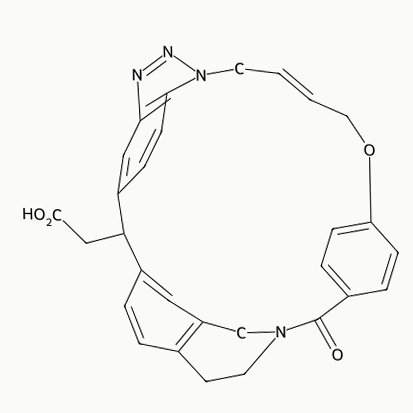 O=C(O)CC1c2ccc3c(c2)CN(CC3)C(=O)c2ccc(cc2)OC/C=C/Cn2nnc3cc1ccc32